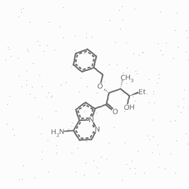 CC[C@@H](O)[C@@H](C)[C@@H](OCc1ccccc1)C(=O)c1ccc2c(N)ccnn12